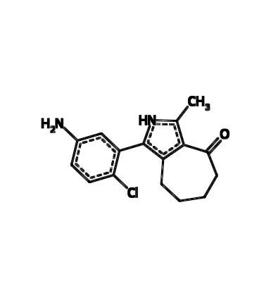 Cc1[nH]c(-c2cc(N)ccc2Cl)c2c1C(=O)CCCC2